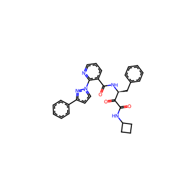 O=C(NC1CCC1)C(=O)[C@H](Cc1ccccc1)NC(=O)c1cccnc1-n1ccc(-c2ccccc2)n1